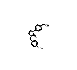 CC(C)(C)c1ccc(CN2CCN(c3ccc(CO)cc3)C2=O)cc1